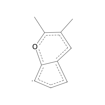 Cc1cc2cc[c]c-2oc1C